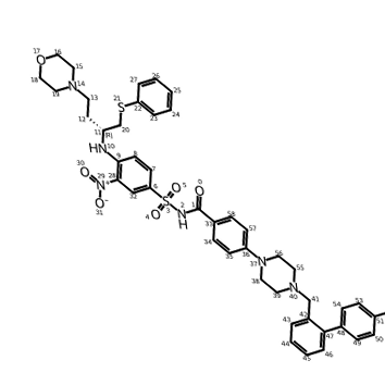 O=C(NS(=O)(=O)c1ccc(N[C@H](CCN2CCOCC2)CSc2ccccc2)c([N+](=O)[O-])c1)c1ccc(N2CCN(Cc3ccccc3-c3ccc(F)cc3)CC2)cc1